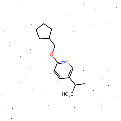 CC(C(=O)O)c1ccc(OCC2CCCC2)nc1